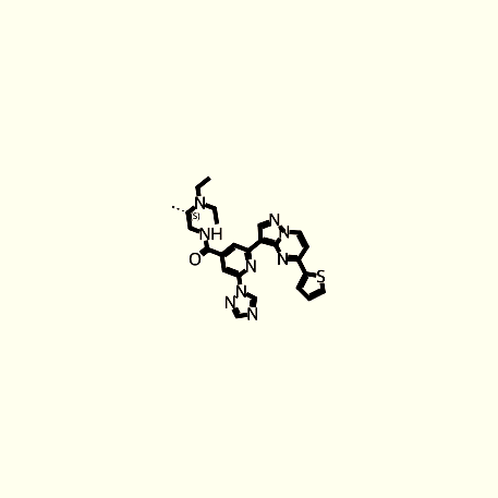 CCN(CC)[C@@H](C)CNC(=O)c1cc(-c2cnn3ccc(-c4cccs4)nc23)nc(-n2cncn2)c1